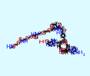 CNOCCOCC(=O)NCCOCCOCC(=O)NCCOCCOCC(=O)N[C@H](C(=O)N[C@@H](C)C(=O)Nc1ccc(CSP2(=O)OC[C@H]3O[C@@H](n4cnc5c(N)ncnc54)[C@H](F)[C@@H]3OP(=O)(O)OC[C@H]3O[C@@H](n4cnc5c(O)ncnc54)C[C@@H]3O2)cc1)C(C)C